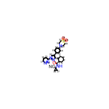 N#CC1(NC(=O)[C@@H]2CCCC[C@H]2c2nn(-c3cccnn3)cc2-c2ccc(N3CCS(=O)(=O)CC3)cc2)CC1